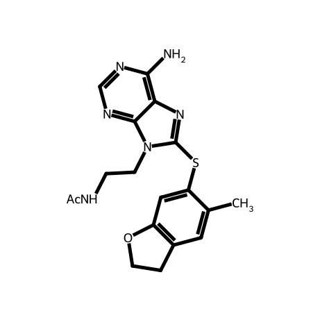 CC(=O)NCCn1c(Sc2cc3c(cc2C)CCO3)nc2c(N)ncnc21